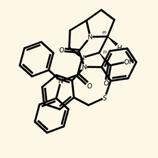 O=C(O)[C@@H]1[C@H]2CCC(CCN1C(=O)N(c1ccccc1)c1ccccc1)N2C(=O)N1c2ccccc2CSc2ccccc21